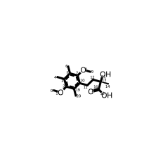 COc1c(C)c(C)c(OC)c(CC[C@](C)(O)C(=O)O)c1C